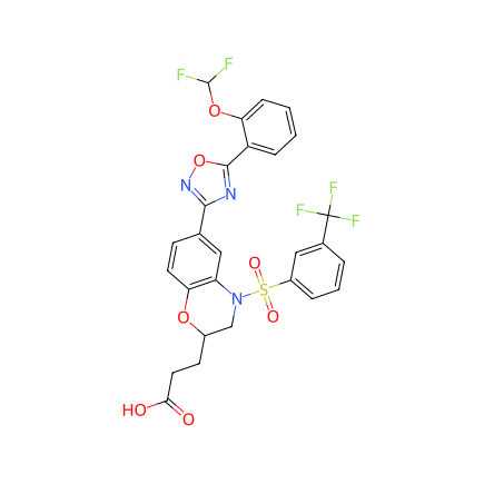 O=C(O)CCC1CN(S(=O)(=O)c2cccc(C(F)(F)F)c2)c2cc(-c3noc(-c4ccccc4OC(F)F)n3)ccc2O1